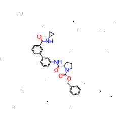 O=C(NC1CC1)c1cccc(-c2cccc(NC(=O)[C@@H]3CCCN3C(=O)OCc3ccccc3)c2)c1